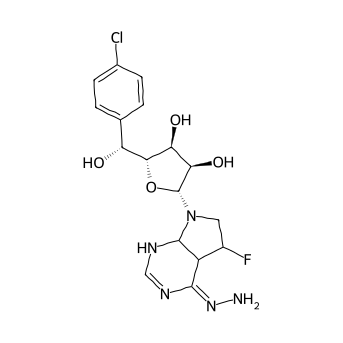 N/N=C1/N=CNC2C1C(F)CN2[C@@H]1O[C@H]([C@H](O)c2ccc(Cl)cc2)[C@@H](O)[C@H]1O